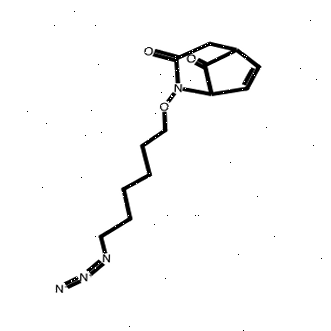 [N-]=[N+]=NCCCCCCON1C(=O)CC2C=CC1C2=O